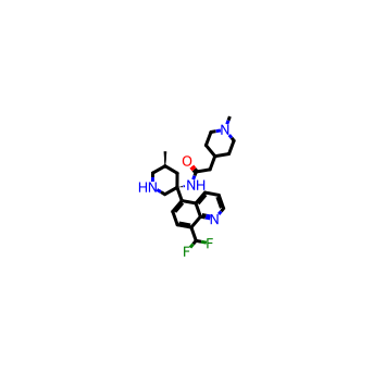 C[C@@H]1CNC[C@](NC(=O)CC2CCN(C)CC2)(c2ccc(C(F)F)c3ncccc23)C1